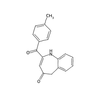 Cc1ccc(C(=O)C2=CC(=O)Cc3ccccc3N2)cc1